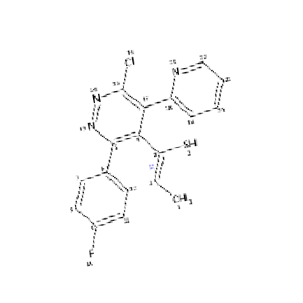 C/C=C(\S)c1c(-c2ccc(F)cc2)nnc(Cl)c1-c1ccccn1